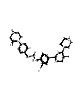 Cc1cnc(-c2ccc(NC(=O)Nc3ccc(N4CCOCC4=O)cc3)c(F)c2)nc1N1CCOCC1